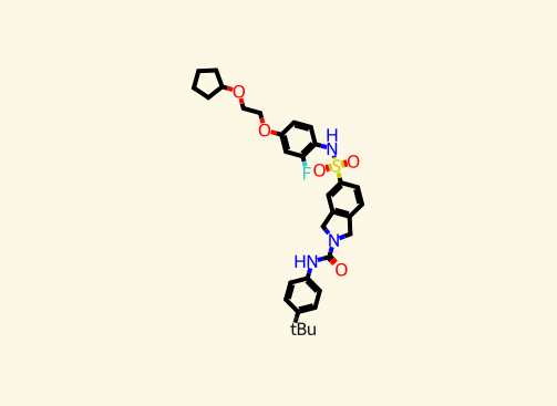 CC(C)(C)c1ccc(NC(=O)N2Cc3ccc(S(=O)(=O)Nc4ccc(OCCOC5CCCC5)cc4F)cc3C2)cc1